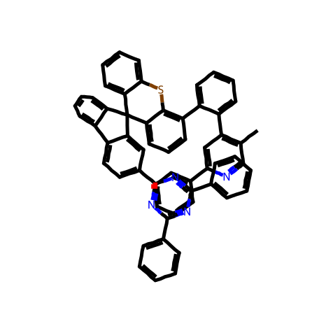 Cc1cnc(-c2ccccc2)cc1-c1ccccc1-c1cccc2c1Sc1ccccc1C21c2ccccc2-c2ccc(-c3nc(-c4ccccc4)nc(-c4ccccc4)n3)cc21